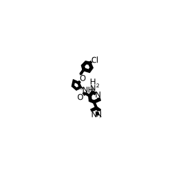 Cn1cc(-c2cnc(N)c(C(=O)N[C@H]3CCCC3OCc3ccc(Cl)cc3)c2)cn1